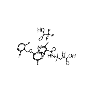 Cc1cc(OCc2c(F)cccc2F)c2nc(C)c(C(=O)NC(C)(C)CNC(=O)O)n2c1.O=C(O)C(F)(F)F